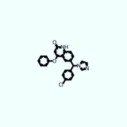 O=c1cc(Oc2ccccc2)c2cc(C(c3ccc(Cl)cc3)n3ccnc3)ccc2[nH]1